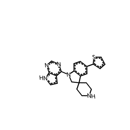 c1csc(-c2ccc3c(c2)C2(CCNCC2)CN3c2ncnc3[nH]ccc23)c1